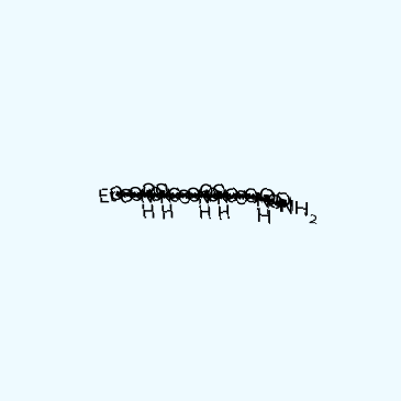 CCOCCOCCOCCNC(=O)COCC(=O)NCCOCCOCCOCCNC(=O)COCC(=O)NCCOCCOCCOCCNC(=O)COCC(N)=O